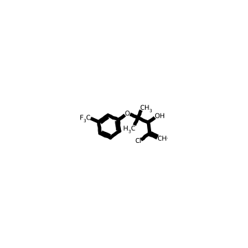 [CH]=C(Cl)C(O)C(C)(C)Oc1cccc(C(F)(F)F)c1